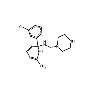 CC1=NC=CC(NCN2CCNCC2)(c2cccc(Cl)c2)N1